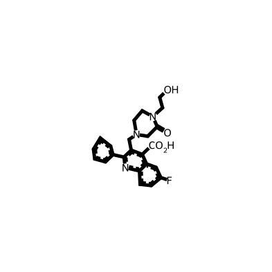 O=C(O)c1c(CN2CCN(CCO)C(=O)C2)c(-c2ccccc2)nc2ccc(F)cc12